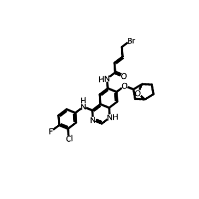 O=C(/C=C/CBr)NC1=CC2=C(Nc3ccc(F)c(Cl)c3)N=CNC2C=C1OC1CC2CCC1O2